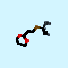 CS[C@H](C)SCCC1OCCCO1